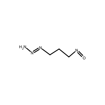 NN=NCCCN=O